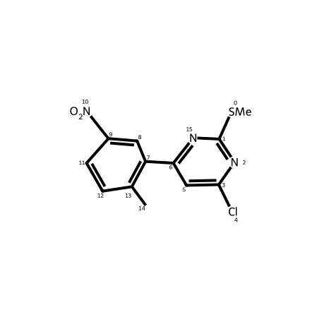 CSc1nc(Cl)cc(-c2cc([N+](=O)[O-])ccc2C)n1